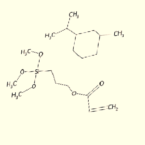 C=CC(=O)OCCC[Si](OC)(OC)OC.CC1CCCC(C(C)C)C1